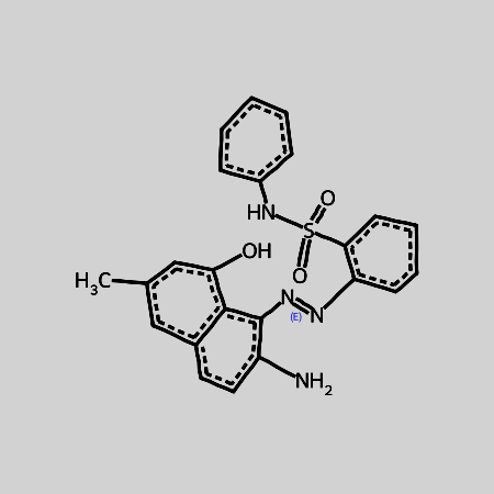 Cc1cc(O)c2c(/N=N/c3ccccc3S(=O)(=O)Nc3ccccc3)c(N)ccc2c1